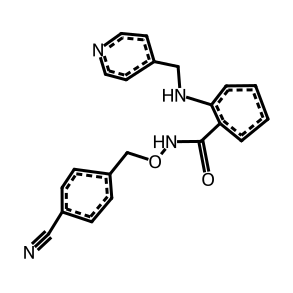 N#Cc1ccc(CONC(=O)c2ccccc2NCc2ccncc2)cc1